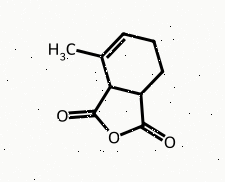 CC1=CCCC2C(=O)OC(=O)C12